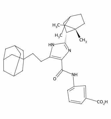 CC1(C)C2CC[C@]1(C)[C@H](c1nc(C(=O)Nc3cccc(C(=O)O)c3)c(CCC34CC5CC(CC(C5)C3)C4)[nH]1)C2